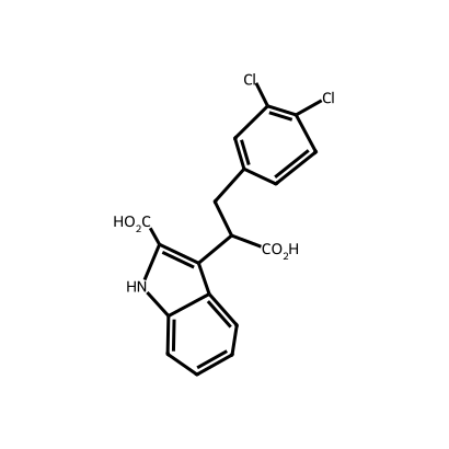 O=C(O)c1[nH]c2ccccc2c1C(Cc1ccc(Cl)c(Cl)c1)C(=O)O